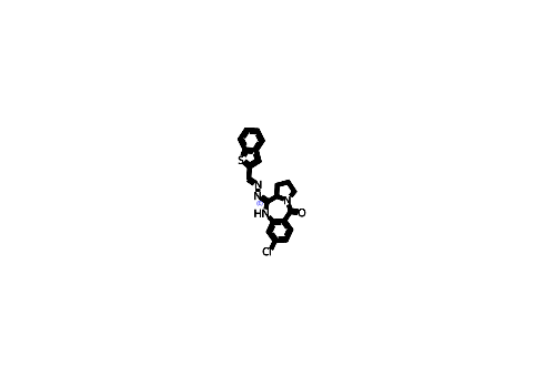 O=C1c2ccc(Cl)cc2N/C(=N/N=Cc2cc3ccccc3s2)C2CCCN12